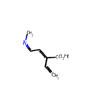 C=C/C(=C\C=N/C)C(=O)O